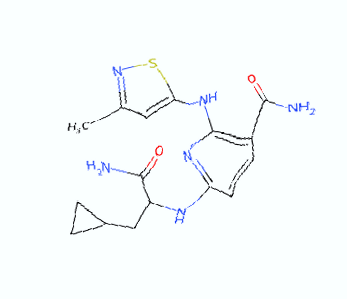 Cc1cc(Nc2nc(NC(CC3CC3)C(N)=O)ccc2C(N)=O)sn1